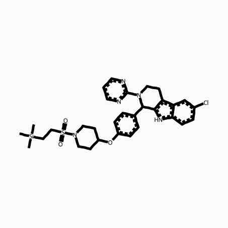 C[Si](C)(C)CCS(=O)(=O)N1CCC(Oc2ccc(C3c4[nH]c5ccc(Cl)cc5c4CCN3c3ncccn3)cc2)CC1